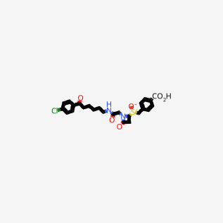 O=C(CN1C(=O)CC1[S+]([O-])Cc1ccc(C(=O)O)cc1)NCCCCCC(=O)c1ccc(Cl)cc1